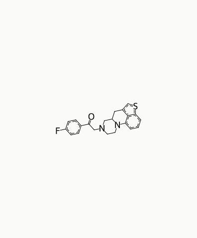 O=C(CN1CCN2c3cccc4scc(c34)CC2C1)c1ccc(F)cc1